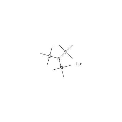 C[Si](C)(C)N([Si](C)(C)C)[Si](C)(C)C.[Lu]